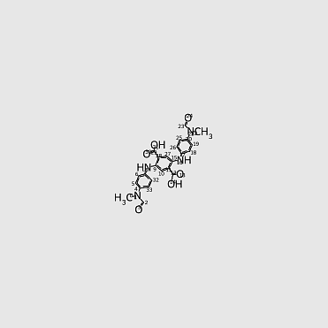 CN(C=O)c1ccc(Nc2cc(C(=O)O)c(Nc3ccc(N(C)C=O)cc3)cc2C(=O)O)cc1